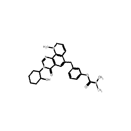 CN(C)C(=O)Oc1cccc(Cc2cc3c(=O)n(C4CCCCC4O)cnc3c3c2C=CCN3C)c1